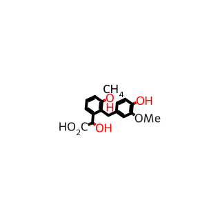 C.COc1cc(Cc2c(O)cccc2C(O)C(=O)O)ccc1O